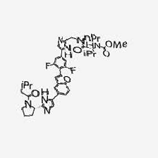 CCCN(Cc1ncc(-c2cc(F)c(-c3cc4cc(-c5cnc([C@@H]6CCCN6C(=O)CC(C)C)[nH]5)ccc4o3)c(F)c2)[nH]1)C(=O)[C@@H](NC(=O)OC)C(C)C